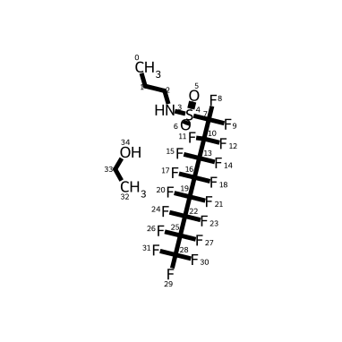 CCCNS(=O)(=O)C(F)(F)C(F)(F)C(F)(F)C(F)(F)C(F)(F)C(F)(F)C(F)(F)C(F)(F)F.CCO